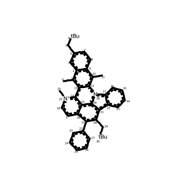 Cc1c2cc(CC(C)(C)C)ccc2c(C)c2c1c1c3c(cc[n+]1C)c(-c1ccccc1)c(CC(C)(C)C)c1c4ccccc4n2c13